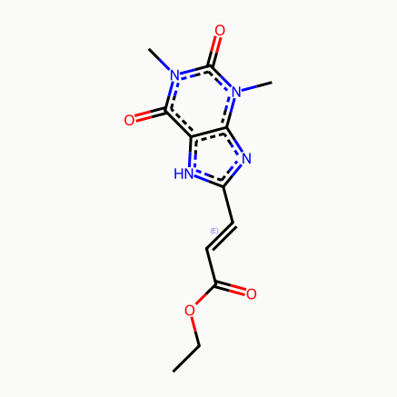 CCOC(=O)/C=C/c1nc2c([nH]1)c(=O)n(C)c(=O)n2C